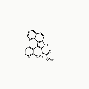 COC(=O)Cc1[nH]c2ccc3cccnc3c2c1-c1cccnc1OC